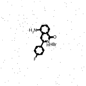 Br.Nc1cccc2c(=O)[nH]c(-c3ccc(F)cc3)cc12